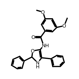 COc1cc(OC)cc(C(=O)NC2=C(c3ccccc3)NC(c3ccccc3)O2)c1